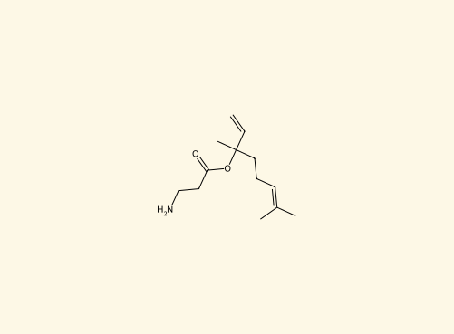 C=CC(C)(CCC=C(C)C)OC(=O)CCN